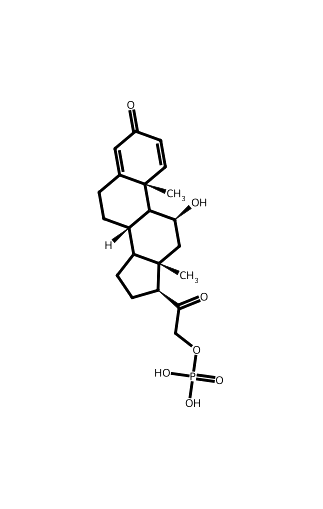 C[C@]12C=CC(=O)C=C1CC[C@@H]1C2[C@@H](O)C[C@@]2(C)C1CC[C@@H]2C(=O)COP(=O)(O)O